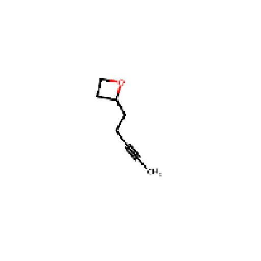 CC#CC[CH]C1CCO1